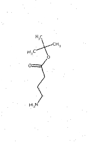 CC(C)(C)OC(=O)CC[CH]N